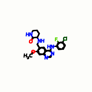 COc1cc2ncnc(Nc3cccc(Cl)c3F)c2cc1CNC1CCCNC1=O